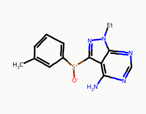 CCn1nc([S+]([O-])c2cccc(C)c2)c2c(N)ncnc21